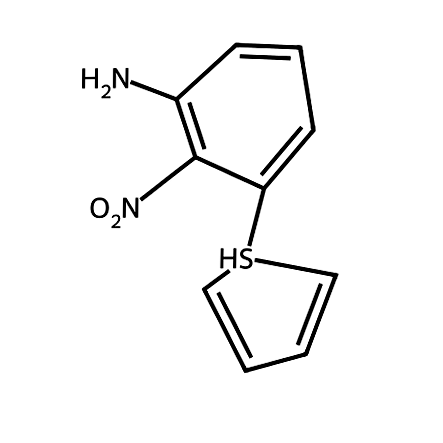 Nc1cccc([SH]2C=CC=C2)c1[N+](=O)[O-]